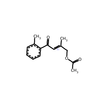 CC(=O)OC/C(C)=C/C(=O)c1ccccc1C